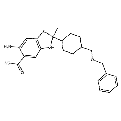 CC1(C2CCC(COCc3ccccc3)CC2)Nc2cc(C(=O)O)c(N)cc2S1